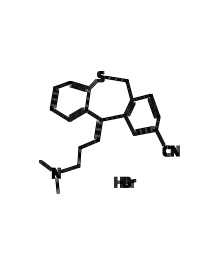 Br.CN(C)CCC=C1c2cc(C#N)ccc2CSc2ccccc21